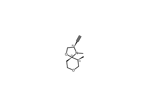 C#C[C@@H]1CO[C@]2(CCOC[C@@H]2C)N1C